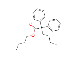 CCCCOC(=O)C(CCCC)(c1ccccc1)c1ccccc1